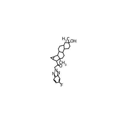 CC1(O)CCC2C(CCC3C2CCC2(C)C(C(=O)Cn4nc5ccc(F)cc5n4)C4CC4C32)C1